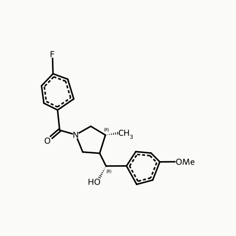 COc1ccc([C@H](O)C2CN(C(=O)c3ccc(F)cc3)C[C@@H]2C)cc1